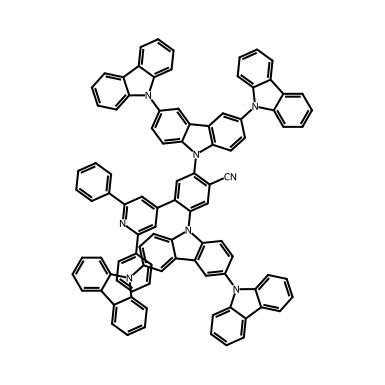 N#Cc1cc(-n2c3ccc(-n4c5ccccc5c5ccccc54)cc3c3cc(-n4c5ccccc5c5ccccc54)ccc32)c(-c2cc(-c3ccccc3)nc(-c3ccccc3)c2)cc1-n1c2ccc(-n3c4ccccc4c4ccccc43)cc2c2cc(-n3c4ccccc4c4ccccc43)ccc21